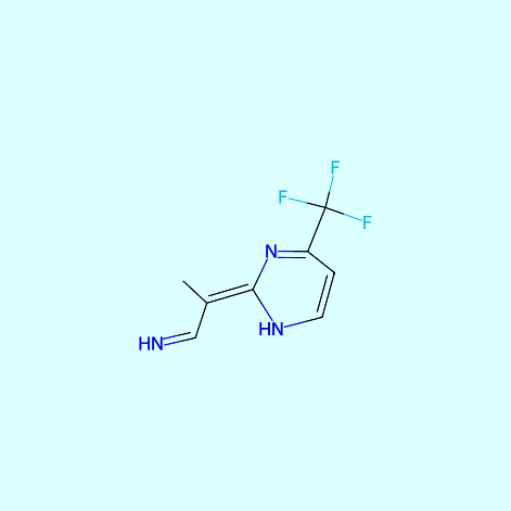 C/C(C=N)=C1\N=C(C(F)(F)F)C=CN1